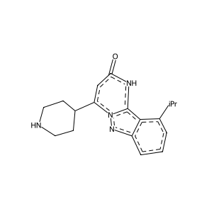 CC(C)c1cccc2nn3c(C4CCNCC4)cc(=O)[nH]c3c12